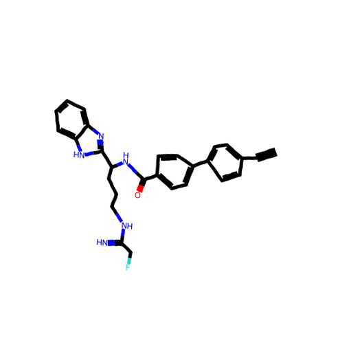 C#Cc1ccc(-c2ccc(C(=O)NC(CCCNC(=N)CF)c3nc4ccccc4[nH]3)cc2)cc1